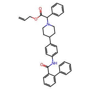 C=CCOC(=O)C(c1ccccc1)N1CCC(c2ccc(NC(=O)c3ccccc3-c3ccccc3)cc2)CC1